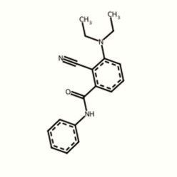 CCN(CC)c1cccc(C(=O)Nc2ccccc2)c1C#N